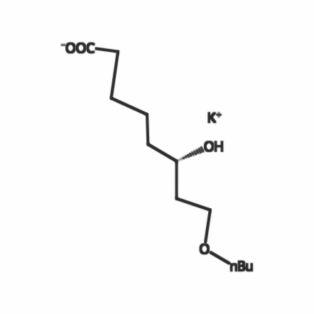 CCCCOCC[C@@H](O)CCCCC(=O)[O-].[K+]